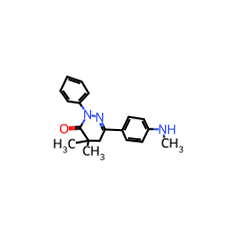 CNc1ccc(C2=NN(c3ccccc3)C(=O)C(C)(C)C2)cc1